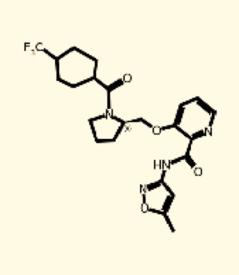 Cc1cc(NC(=O)c2ncccc2OC[C@H]2CCCN2C(=O)C2CCC(C(F)(F)F)CC2)no1